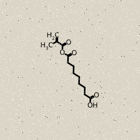 C=C(C)C(=O)OC(=O)CCCCCCCC(=O)O